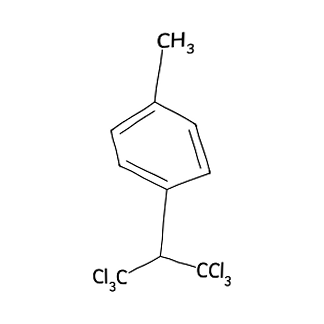 Cc1ccc(C(C(Cl)(Cl)Cl)C(Cl)(Cl)Cl)cc1